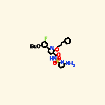 CC(C)COc1cc(F)cc(-c2ccc(C(=O)NS(=O)(=O)c3cccc(N)n3)c(OCCCc3ccccc3)n2)c1